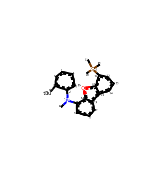 CN(c1ccccc1C(C)(C)C)c1cccc2c1oc1c(S(C)(C)C)cccc12